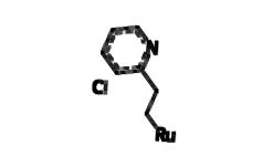 [C].[Ru][CH2]Cc1ccccn1